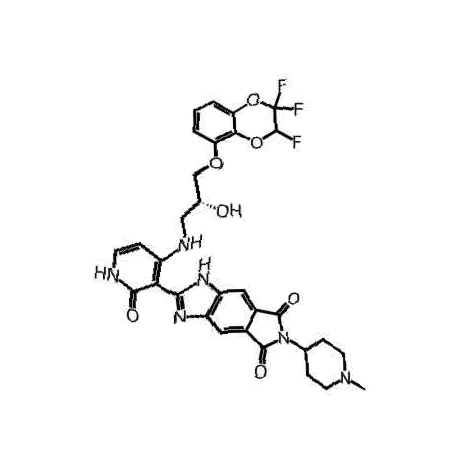 CN1CCC(N2C(=O)c3cc4nc(-c5c(NC[C@@H](O)COc6cccc7c6OC(F)C(F)(F)O7)cc[nH]c5=O)[nH]c4cc3C2=O)CC1